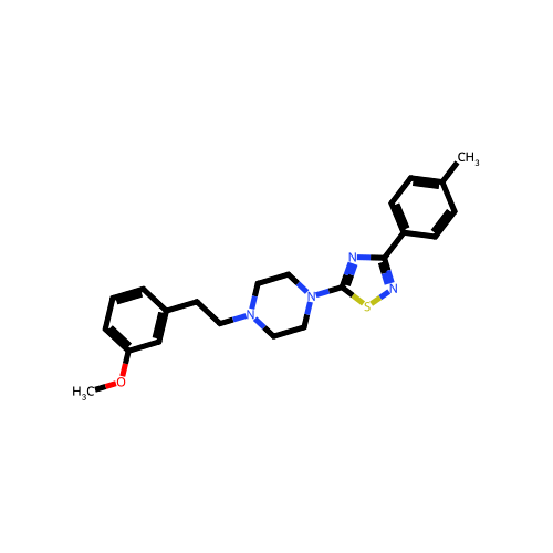 COc1cccc(CCN2CCN(c3nc(-c4ccc(C)cc4)ns3)CC2)c1